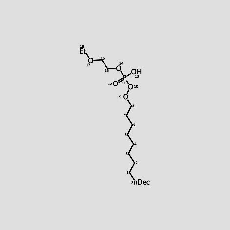 CCCCCCCCCCCCCCCCCCOOP(=O)(O)OCCOCC